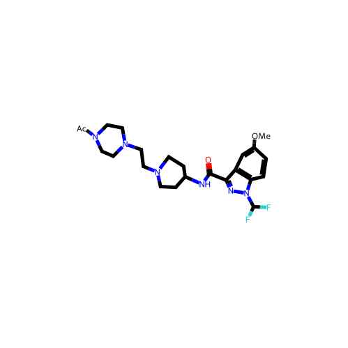 COc1ccc2c(c1)c(C(=O)NC1CCN(CCN3CCN(C(C)=O)CC3)CC1)nn2C(F)F